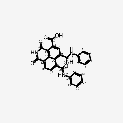 N=C(Nc1ccccc1)c1cc(C(=O)O)c2c3c(ccc(C(=O)Nc4ccccc4)c13)C(=O)NC2=O